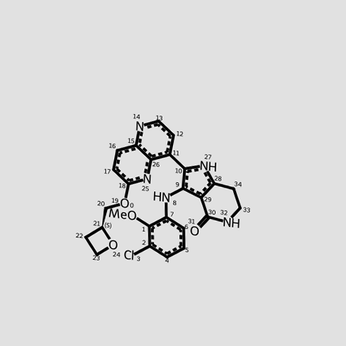 COc1c(Cl)cccc1Nc1c(-c2ccnc3ccc(OC[C@@H]4CCO4)nc23)[nH]c2c1C(=O)NCC2